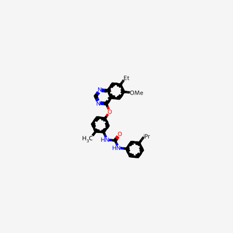 CCc1cc2ncnc(Oc3ccc(C)c(NC(=O)Nc4cccc(C(C)C)c4)c3)c2cc1OC